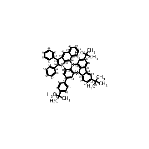 CC(C)(C)c1ccc(-c2cc3c4c(c2)-n2c5ccc(C(C)(C)C)cc5c5cc(C(C)(C)C)cc(c52)B4c2c4ccccc4cc4c(-c5ccccc5)c(-c5ccccc5)n-3c24)cc1